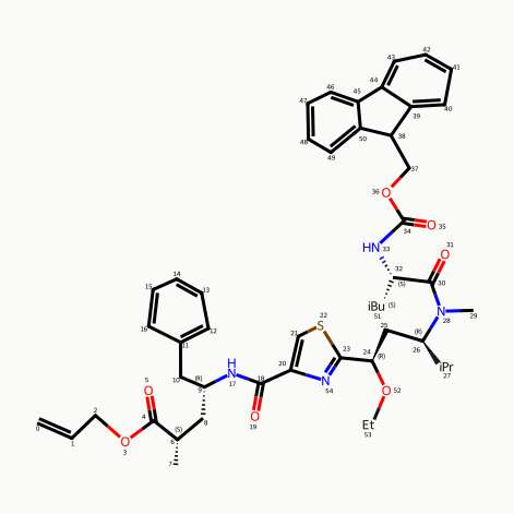 C=CCOC(=O)[C@@H](C)C[C@H](Cc1ccccc1)NC(=O)c1csc([C@@H](C[C@H](C(C)C)N(C)C(=O)[C@@H](NC(=O)OCC2c3ccccc3-c3ccccc32)[C@@H](C)CC)OCC)n1